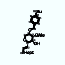 CCCCCCC/C=C/[C@@H]1OC[C@@H](OCc2ccc(C(C)(C)C)cc2)[C@H](OC)[C@@H]1O